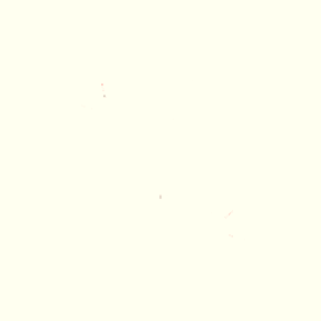 C=C(C)C(=O)OCCOC(CC)OCCCC(OCCC)OCCOC(=O)C(=C)C